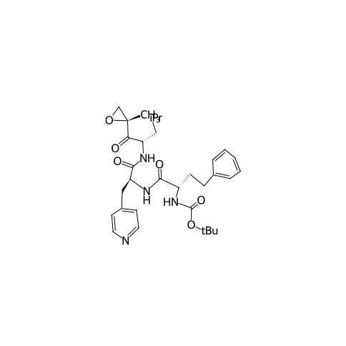 CC(C)C[C@H](NC(=O)[C@H](Cc1ccncc1)NC(=O)[C@H](CCc1ccccc1)NC(=O)OC(C)(C)C)C(=O)[C@@]1(C)CO1